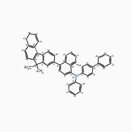 CC1(C)c2cc(-c3ccc(N(c4ccccc4)c4ccc(-c5ccccc5)cc4)c4ccccc34)ccc2-c2c1ccc1c2C=CCC1